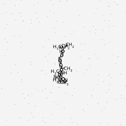 C=CCCC(C(=C)NC)c1ccc(N2CCC(CN3CCN(C4CCN(c5cc(CC)c(Nc6ncc(Br)c(Nc7ccc8nccnc8c7P(C)(C)=O)n6)cc5CC)CC4)CC3)C2)cc1